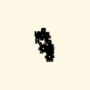 Nc1nc2c(ncn2COC/C=C\P(=O)(Oc2ccccc2)Oc2ccccc2)c(=O)[nH]1